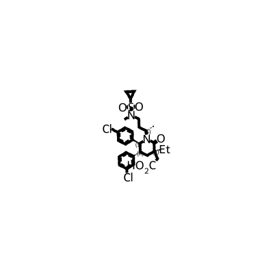 CC[C@]1(CC(=O)O)C[C@H](c2cccc(Cl)c2)[C@@H](c2ccc(Cl)cc2)N([C@@H](C)CCN(C)S(=O)(=O)C2CC2)C1=O